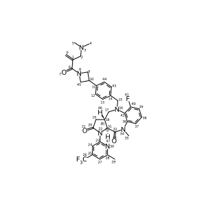 C=C(CN(C)C)C(=O)N1CC(c2ccc(CN3C[C@H]4CC(=O)N(c5cc(C(F)(F)F)cc(C)n5)[C@@H]4C(=O)N(C)c4cccc(F)c43)cc2)C1